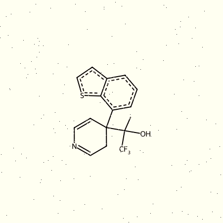 CC(O)(C(F)(F)F)C1(c2cccc3ccsc23)C=CN=CC1